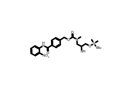 CCCC(CO[Si](C)(C)C(C)(C)C)CN(C)C(=O)OCc1ccc(C(=O)Nc2ccccc2[N+](=O)[O-])cc1